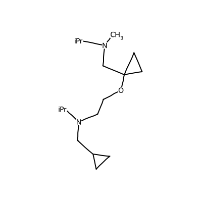 CC(C)N(C)CC1(OCCN(CC2CC2)C(C)C)CC1